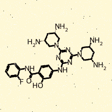 N[C@@H]1C[C@H](N)CN(c2nc(Nc3ccc(C(=O)Nc4ccccc4F)c(O)c3)nc(N3C[C@H](N)C[C@H](N)C3)n2)C1